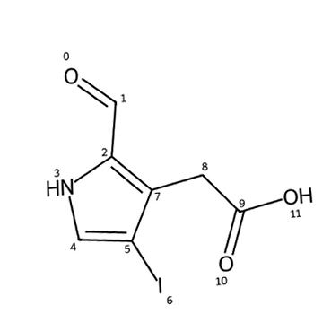 O=Cc1[nH]cc(I)c1CC(=O)O